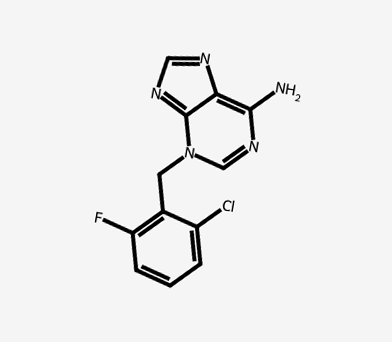 Nc1ncn(Cc2c(F)cccc2Cl)c2ncnc1-2